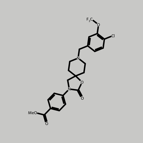 COC(=O)c1ccc(N2CC3(CCN(Cc4ccc(Cl)c(OC(F)(F)F)c4)CC3)OC2=O)cc1